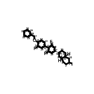 CC1CC[C@@H]2C[C@H](c3cc(F)c(-c4ccc(OCc5ccccc5)c(F)c4)c(F)c3)CC[C@@H]2C1